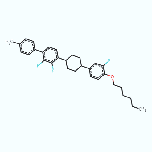 CCCCCCOc1ccc(C2CCC(c3ccc(-c4ccc(C)cc4)c(F)c3F)CC2)cc1F